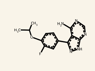 CC(C)Oc1ccc(-c2n[nH]c3ncnc(N)c23)cc1F